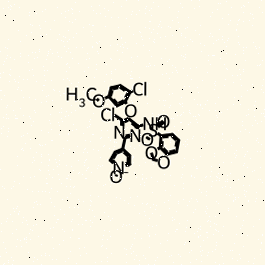 COc1ccc(Cl)c(Oc2c(Cl)nc(-c3cc[n+]([O-])cc3)nc2NS(=O)(=O)c2cccc3c2OCO3)c1